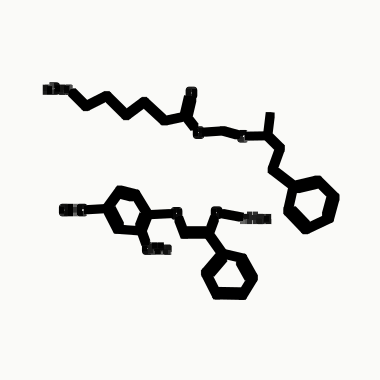 CCCCCCCCCCCCCCCC(=O)OCCC(C)CCc1ccccc1.CCCCCCOC(=COc1ccc(C=O)cc1OC)c1ccccc1